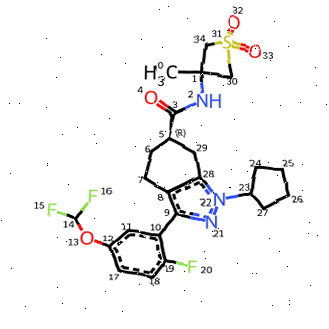 CC1(NC(=O)[C@@H]2CCc3c(-c4cc(OC(F)F)ccc4F)nn(C4CCCC4)c3C2)CS(=O)(=O)C1